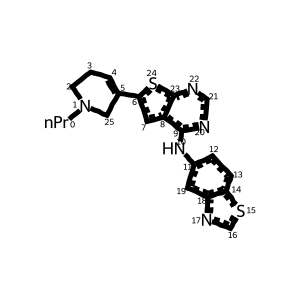 CCCN1CCC=C(c2cc3c(Nc4ccc5scnc5c4)ncnc3s2)C1